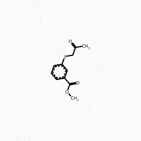 COC(=O)c1cccc(SCC(C)=O)c1